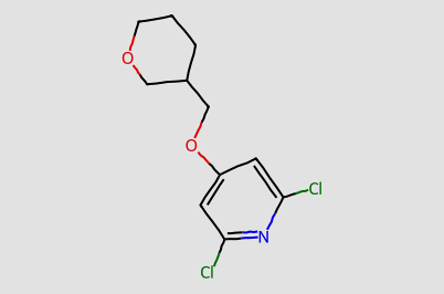 Clc1cc(OCC2CCCOC2)cc(Cl)n1